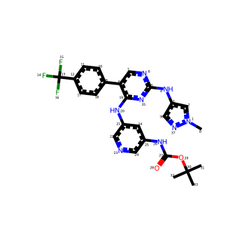 Cn1cc(Nc2ncc(-c3ccc(C(F)(F)F)cc3)c(Nc3cncc(NC(=O)OC(C)(C)C)c3)n2)cn1